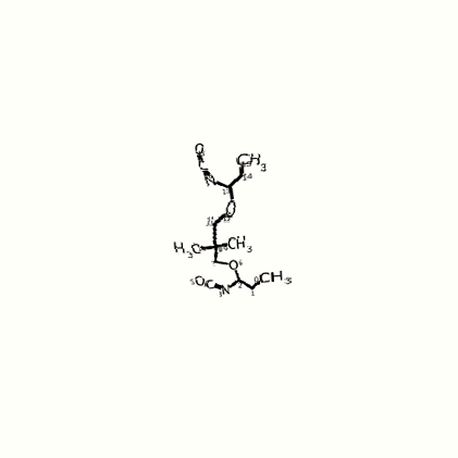 CCC(N=C=O)OCC(C)(C)COC(CC)N=C=O